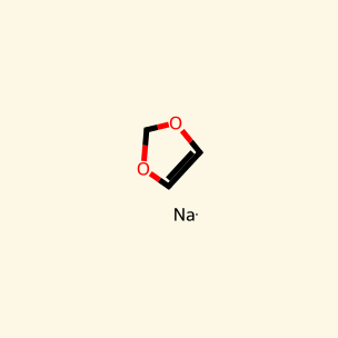 C1=COCO1.[Na]